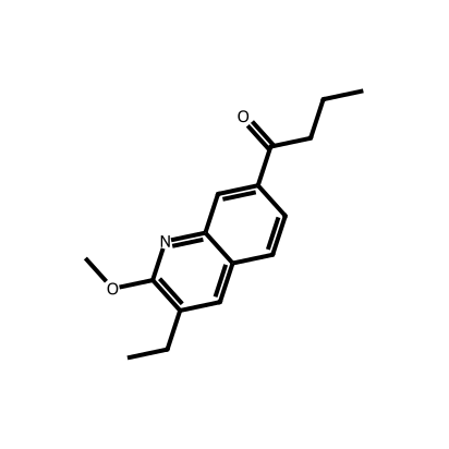 CCCC(=O)c1ccc2cc(CC)c(OC)nc2c1